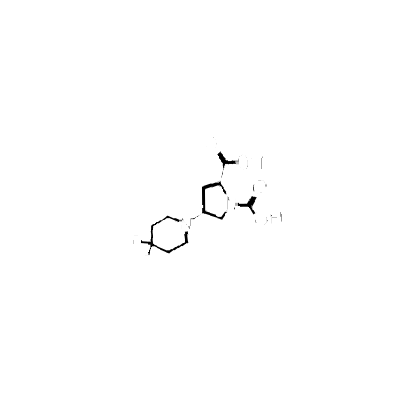 O=C(O)[C@@H]1C[C@H](N2CCC(F)(F)CC2)CN1C(=O)O